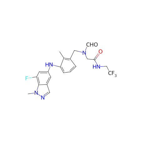 Cc1c(CN(C=O)CC(=O)NCC(F)(F)F)cccc1Nc1cc(F)c2c(cnn2C)c1